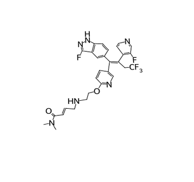 CN(C)C(=O)C=CCNCCOc1ccc(C(=C(CC(F)(F)F)c2ccncc2F)c2ccc3[nH]nc(F)c3c2)cn1